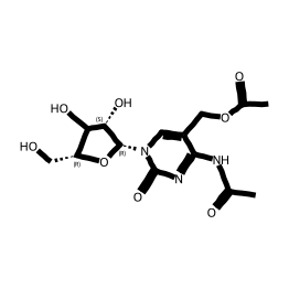 CC(=O)Nc1nc(=O)n([C@@H]2O[C@H](CO)C(O)[C@@H]2O)cc1COC(C)=O